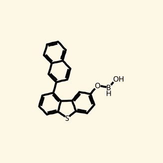 OBOc1ccc2sc3cccc(-c4ccc5ccccc5c4)c3c2c1